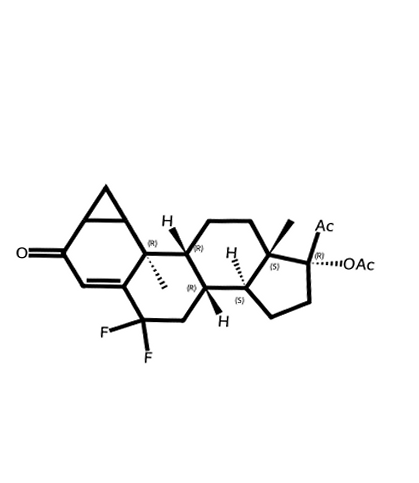 CC(=O)O[C@]1(C(C)=O)CC[C@H]2[C@@H]3CC(F)(F)C4=CC(=O)C5CC5[C@@]4(C)[C@@H]3CC[C@@]21C